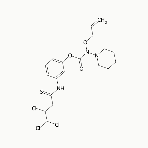 C=CCON(C(=O)Oc1cccc(NC(=S)CC(Cl)C(Cl)Cl)c1)N1CCCCC1